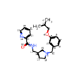 CC(C)COc1cccc(CN2CCC(CNC(=O)c3ccccn3)C2)c1